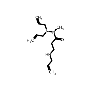 C=CCNCCC(=O)N(C)N(CC=C)CC=C